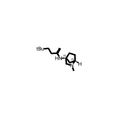 C=C(CCC(C)(C)C)N[C@@]12CC[C@@H](C1)N(C)C2